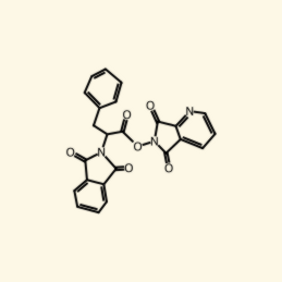 O=C(ON1C(=O)c2cccnc2C1=O)C(Cc1ccccc1)N1C(=O)c2ccccc2C1=O